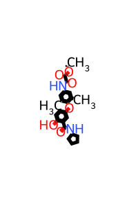 CCOC(=O)C(=O)Nc1cc(C)c(Oc2ccc(O)c(C(=O)NC3CCCC3)c2)c(C)c1